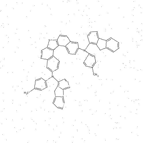 Cc1ccc(N(c2ccc3c(ccc4sc5ccc6cc(N(c7ccc(C)cc7)c7cccc8c7Cc7ccccc7-8)ccc6c5c43)c2)c2cccc3c2Cc2ccccc2-3)cc1